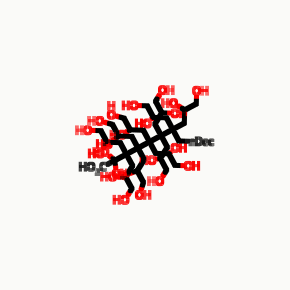 CCCCCCCCCCCC(CC(O)CO)(CC(O)CO)C(CC(O)CO)(CC(O)CO)C(CC(O)CO)(CC(O)CO)C(CC(O)CO)(CC(O)CO)C(CC(O)CO)(CC(O)CO)C(O)(O)C(=O)O